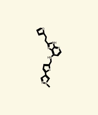 Cn1cc(-c2ccc(CNc3ccnc4[nH]c(CCc5ccco5)nc34)s2)cn1